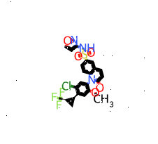 COc1cc([C@H]2C[C@@H]2C(F)(F)F)c(Cl)cc1-n1c(=O)ccc2cc(S(=O)(=O)Nc3ccon3)ccc21